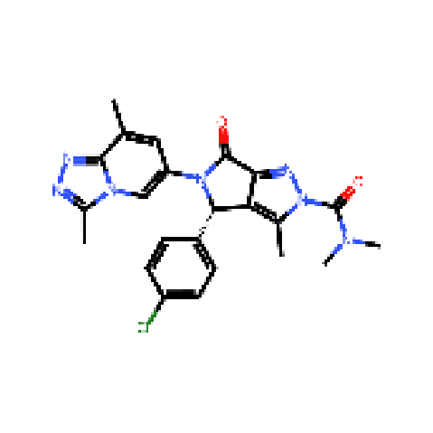 Cc1cc(N2C(=O)c3nn(C(=O)N(C)C)c(C)c3[C@@H]2c2ccc(Cl)cc2)cn2c(C)nnc12